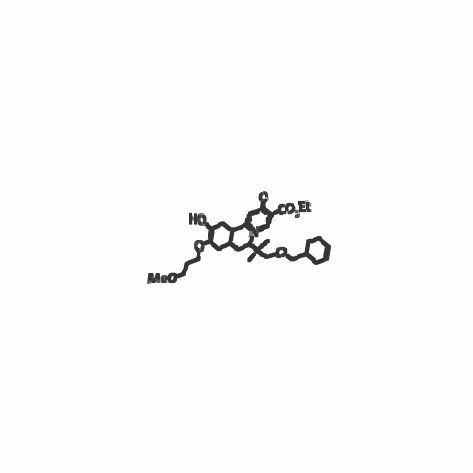 CCOC(=O)c1cn2c(cc1=O)C1CC(O)=C(OCCCOC)CC1CC2C(C)(C)COCC1CC=CCC1